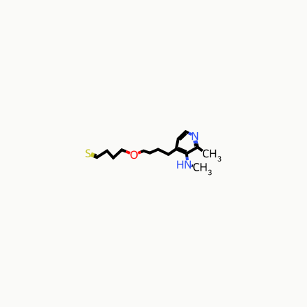 CNc1c(CCCCOCCCC=S)ccnc1C